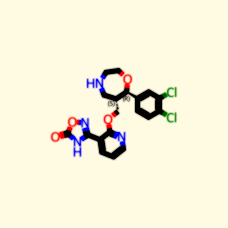 O=c1[nH]c(-c2cccnc2OC[C@@H]2CNCCO[C@H]2c2ccc(Cl)c(Cl)c2)no1